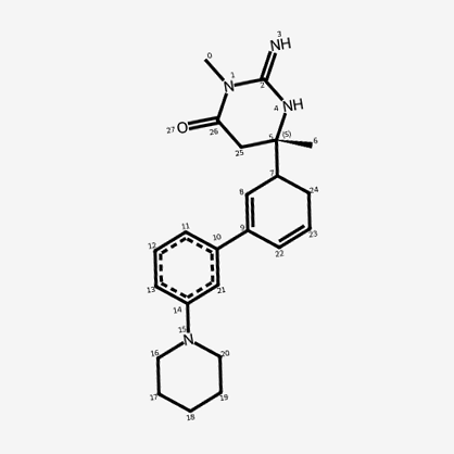 CN1C(=N)N[C@](C)(C2C=C(c3cccc(N4CCCCC4)c3)C=CC2)CC1=O